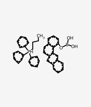 CCCC[PH](c1ccccc1)(c1ccccc1)c1ccccc1.OB(O)Oc1cccc2ccc3cc4ccccc4cc3c12